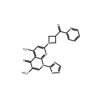 Cc1cc(N2CC(C(=O)c3ccccn3)C2)nc2c1c(=O)c(C(=O)O)cn2-c1ncns1